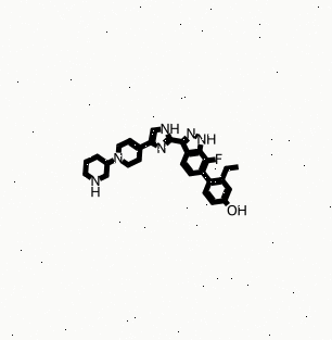 CCc1cc(O)ccc1-c1ccc2c(-c3nc(C4=CCN(C5CCCNC5)CC4)c[nH]3)n[nH]c2c1F